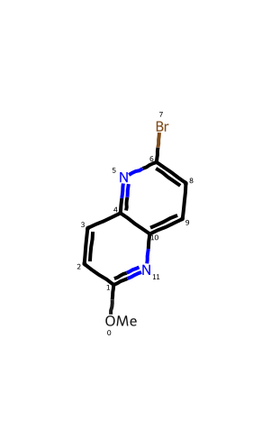 COc1ccc2nc(Br)ccc2n1